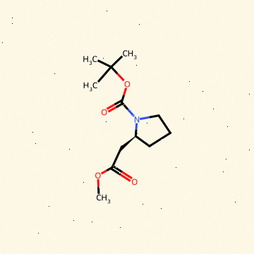 COC(=O)C[C@@H]1CCCN1C(=O)OC(C)(C)C